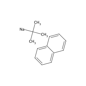 C[C](C)(C)[Na].c1ccc2ccccc2c1